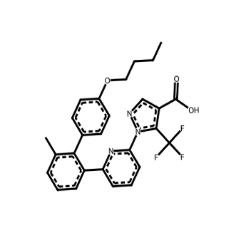 CCCCOc1ccc(-c2c(C)cccc2-c2cccc(-n3ncc(C(=O)O)c3C(F)(F)F)n2)cc1